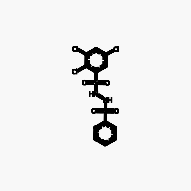 O=S(=O)(NNS(=O)(=O)c1cc(Cl)cc(Cl)c1Cl)c1ccccc1